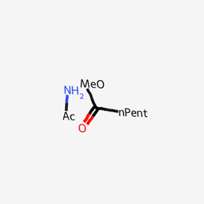 CC(N)=O.CCCCCC(=O)OC